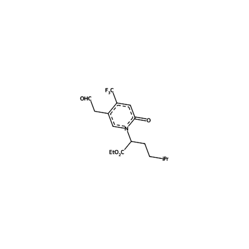 CCOC(=O)C(CCC(C)C)n1cc(CC=O)c(C(F)(F)F)cc1=O